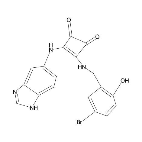 O=c1c(NCc2cc(Br)ccc2O)c(Nc2ccc3[nH]cnc3c2)c1=O